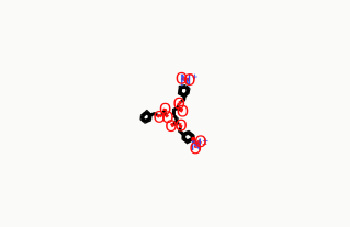 O=C(CC(CC(=O)OCc1ccc([N+](=O)[O-])cc1)OC(=O)OCc1ccccc1)OCc1ccc([N+](=O)[O-])cc1